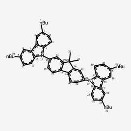 CCCCc1ccc2c(c1)c1cc(CCCC)ccc1n2-c1ccc2c(c1)C(C)(C)c1cc(-n3c4ccc(CCCC)cc4c4cc(CCCC)ccc43)ccc1-2